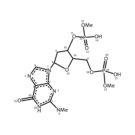 CNc1nc2c(ncn2C2CC(OP(=O)(O)OC)C(COP(=O)(O)OC)O2)c(=O)[nH]1